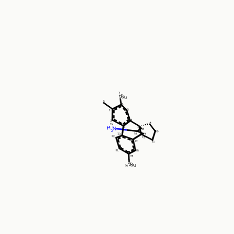 Cc1cc2c(cc1C(C)(C)C)[C@]13CCCC1(CC(N)C3)c1cc(C(C)(C)C)ccc1-2